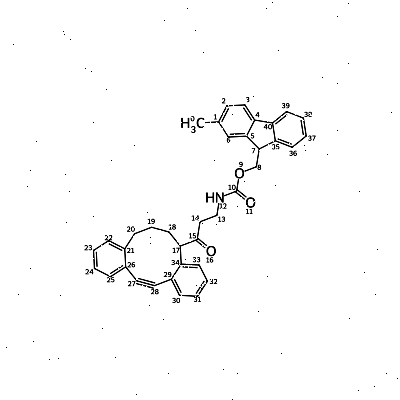 Cc1ccc2c(c1)C(COC(=O)NCCC(=O)C1CCCc3ccccc3C#Cc3ccccc31)c1ccccc1-2